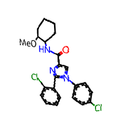 COC1CCCCC1NC(=O)c1cn(-c2ccc(Cl)cc2)c(-c2ccccc2Cl)n1